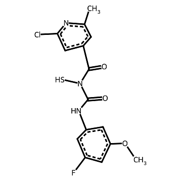 COc1cc(F)cc(NC(=O)N(S)C(=O)c2cc(C)nc(Cl)c2)c1